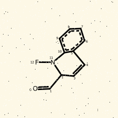 O=CC1C=Cc2ccccc2N1F